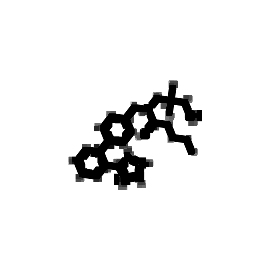 CCCCC(=O)N(Cc1ccc(-c2ccccc2-c2nnn[nH]2)cc1)CC(C)(C)CO